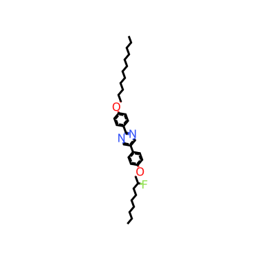 CCCCCCCCCCCCOc1ccc(-c2ncc(-c3ccc(OCC(F)CCCCCCC)cc3)cn2)cc1